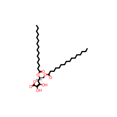 CCCCCCCCCCCCCCCC(=O)OC[C@H](OC(=O)CCCCCCCCCCCCCCC)[C@H]1OC(=O)C(O)=C1O